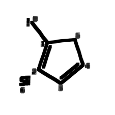 [C]C1=CC=CC1.[Si]